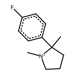 C[N+]1CCCC1(C)c1ccc(F)cc1